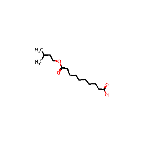 CC(C)CCOC(=O)CCCCCCCCC(=O)O